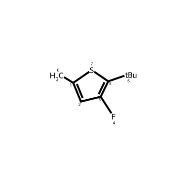 Cc1cc(F)c(C(C)(C)C)s1